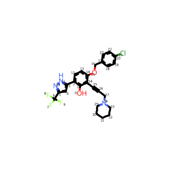 Oc1c(-c2cc(C(F)(F)F)n[nH]2)ccc(OCc2ccc(Cl)cc2)c1C#CCN1CCCCC1